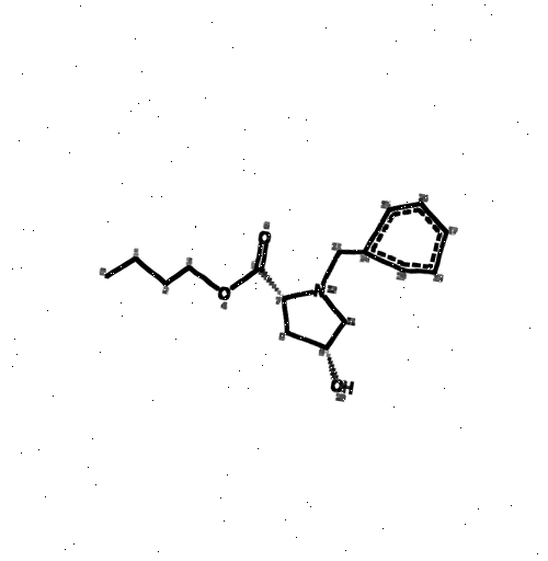 CCCCOC(=O)[C@H]1C[C@@H](O)CN1Cc1ccccc1